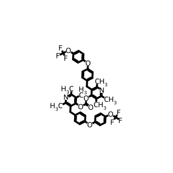 Cc1nc(C)c(Cc2ccc(Oc3ccc(OC(F)(F)F)cc3)cc2)c(OC(=O)Oc2c(C)c(C)nc(C)c2Cc2ccc(Oc3ccc(OC(F)(F)F)cc3)cc2)c1C